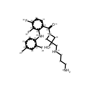 NCCCNCC1(O)CN(C(=O)c2ccc(F)c(F)c2Nc2ccc(I)cc2F)C1